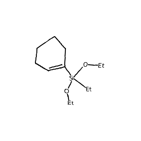 CCO[Si](CC)(OCC)C1=CCCCC1